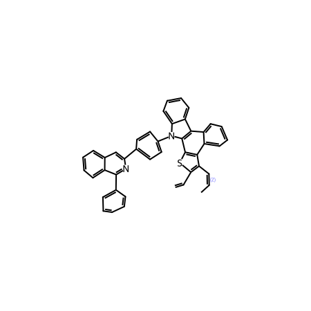 C=Cc1sc2c(c1/C=C\C)c1ccccc1c1c3ccccc3n(-c3ccc(-c4cc5ccccc5c(-c5ccccc5)n4)cc3)c21